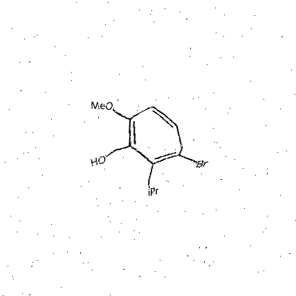 COc1ccc(Br)c(C(C)C)c1O